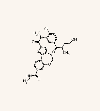 CNC(=O)c1ccc2c(c1)OCCc1cc(C(=O)N(C)c3cc(C(=O)N(C)CCO)ccc3Cl)sc1-2